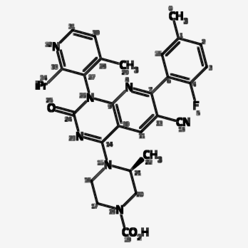 Cc1ccc(F)c(-c2nc3c(cc2C#N)c(N2CCN(C(=O)O)C[C@@H]2C)nc(=O)n3-c2c(C)ccnc2C(C)C)c1